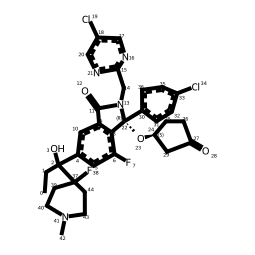 CCC(O)(c1cc(F)c2c(c1)C(=O)N(Cc1ncc(Cl)cn1)[C@@]2(O[C@H]1CCC(=O)C1)c1ccc(Cl)cc1)C1(F)CCN(C)CC1